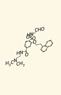 CN(C)CCNC(=O)c1ccc(S(=O)(=O)NCC=O)c(OCCc2cccc3ccccc23)c1